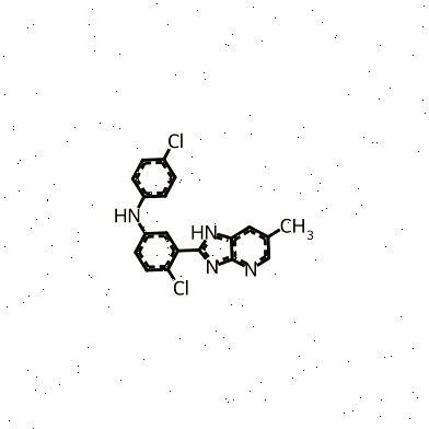 Cc1cnc2nc(-c3cc(Nc4ccc(Cl)cc4)ccc3Cl)[nH]c2c1